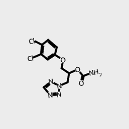 NC(=O)OC(COc1ccc(Cl)c(Cl)c1)Cn1ncnn1